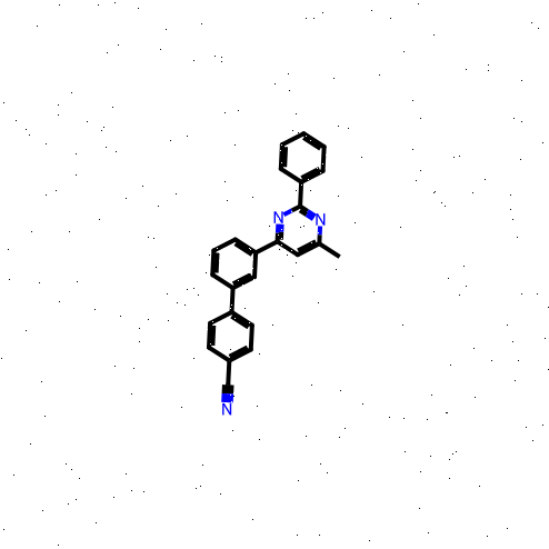 Cc1cc(-c2cccc(-c3ccc(C#N)cc3)c2)nc(-c2ccccc2)n1